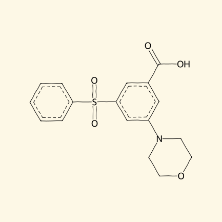 O=C(O)c1cc(N2CCOCC2)cc(S(=O)(=O)c2ccccc2)c1